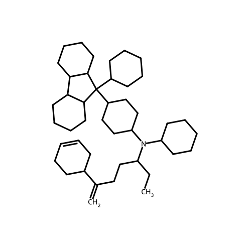 C=C(CCC(CC)N(C1CCCCC1)C1CCC(C2(C3CCCCC3)C3CCCCC3C3CCCCC32)CC1)C1CC=CCC1